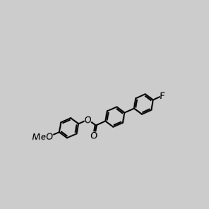 COc1ccc(OC(=O)c2ccc(-c3ccc(F)cc3)cc2)cc1